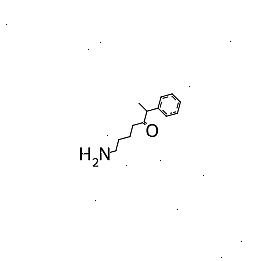 CC(C(=O)CCCCN)c1ccccc1